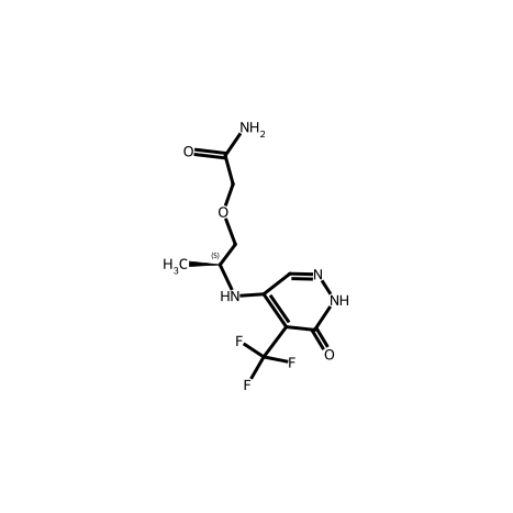 C[C@@H](COCC(N)=O)Nc1cn[nH]c(=O)c1C(F)(F)F